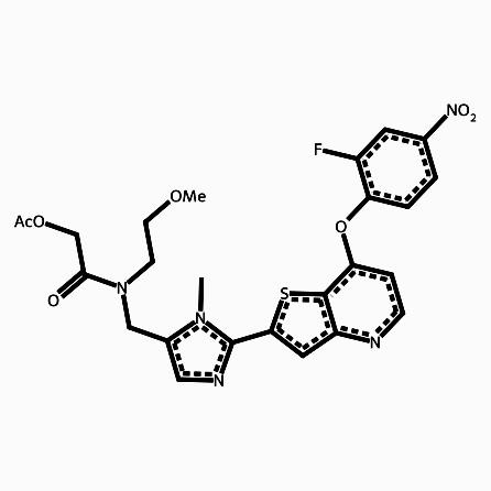 COCCN(Cc1cnc(-c2cc3nccc(Oc4ccc([N+](=O)[O-])cc4F)c3s2)n1C)C(=O)COC(C)=O